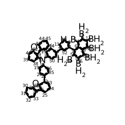 Bc1c(B)c(B)c2c(-c3cccc(-c4ccc(N(c5ccc(-c6cccc7c6oc6ccccc67)cc5)c5cccc6oc7ccccc7c56)cc4)c3)c(B)c(B)c(B)c2c1B